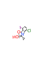 CC(C)(O)[C@@H](C1CC1)N1Cc2c(Cl)ccc(I)c2C1=O